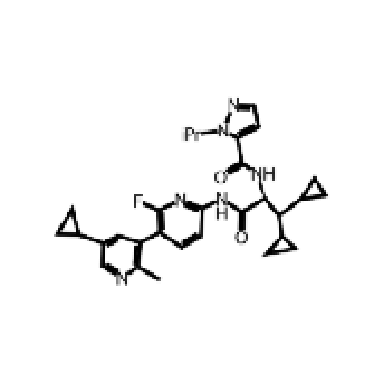 Cc1ncc(C2CC2)cc1-c1ccc(NC(=O)[C@@H](NC(=O)c2ccnn2C(C)C)C(C2CC2)C2CC2)nc1F